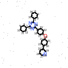 c1ccc(-c2nc(-c3ccccc3)nc(-c3ccc(Oc4ccc(-c5cccnc5)cc4)cc3)n2)cc1